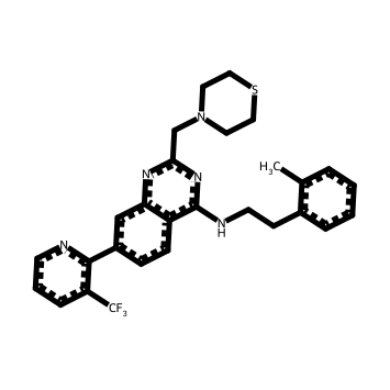 Cc1ccccc1CCNc1nc(CN2CCSCC2)nc2cc(-c3ncccc3C(F)(F)F)ccc12